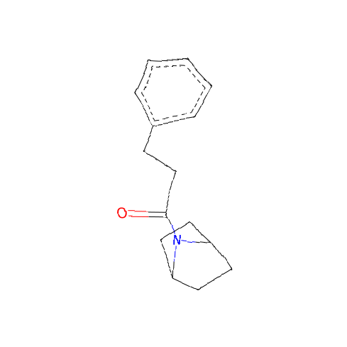 O=C(CCc1ccccc1)N1C2CCC1CC2